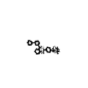 CC1(C)OB(c2ccc(-c3nc(-c4cccc(-c5ccccc5)c4)c4ccccc4n3)cc2)OC1(C)C